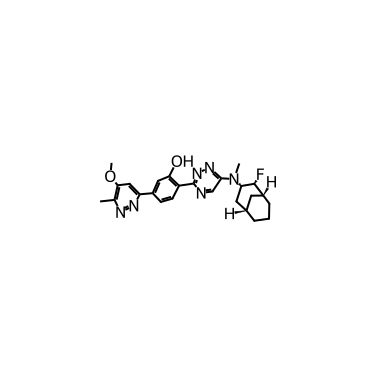 COc1cc(-c2ccc(-c3ncc(N(C)[C@@H]4C[C@H]5CCC[C@H](C5)[C@@H]4F)nn3)c(O)c2)nnc1C